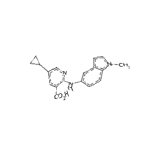 Cn1ccc2cc(Nc3ncc(C4CC4)cc3C(=O)O)ccc21